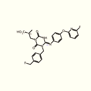 C[C@@H](Cn1c(=O)[nH]/c(=N\c2ccc(Oc3cccc(F)n3)cc2)n(Cc2ccc(CF)cc2)c1=O)C(=O)O